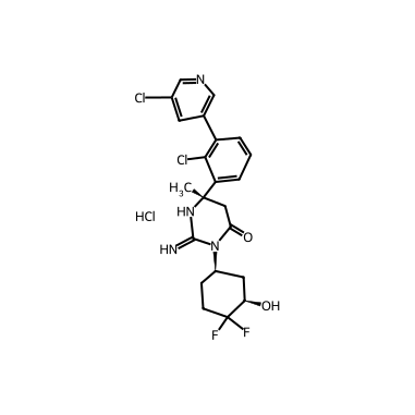 C[C@@]1(c2cccc(-c3cncc(Cl)c3)c2Cl)CC(=O)N([C@@H]2CCC(F)(F)[C@H](O)C2)C(=N)N1.Cl